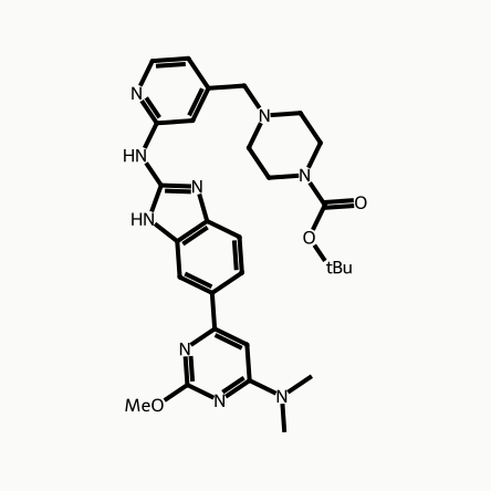 COc1nc(-c2ccc3nc(Nc4cc(CN5CCN(C(=O)OC(C)(C)C)CC5)ccn4)[nH]c3c2)cc(N(C)C)n1